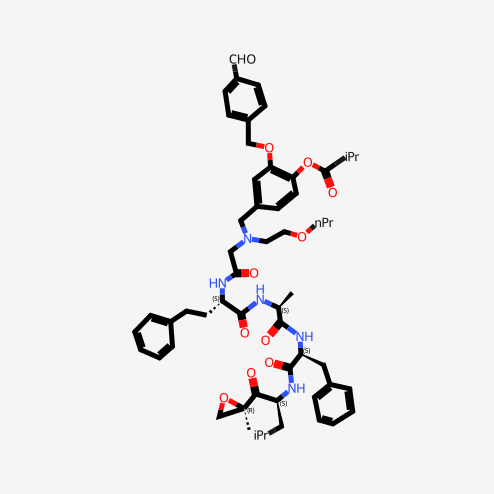 CCCOCCN(CC(=O)N[C@@H](CCc1ccccc1)C(=O)N[C@@H](C)C(=O)N[C@@H](Cc1ccccc1)C(=O)N[C@@H](CC(C)C)C(=O)[C@@]1(C)CO1)Cc1ccc(OC(=O)C(C)C)c(OCc2ccc(C=O)cc2)c1